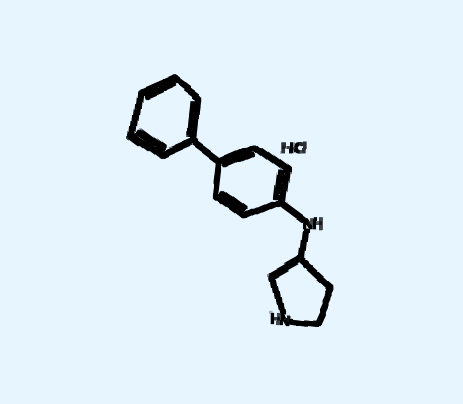 Cl.c1ccc(-c2ccc(NC3CCNC3)cc2)cc1